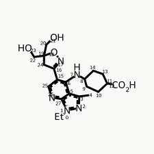 CCn1nc(C)c2c(NC3CCC(C(=O)O)CC3)c(C3=NOC(CO)(CO)C3)cnc21